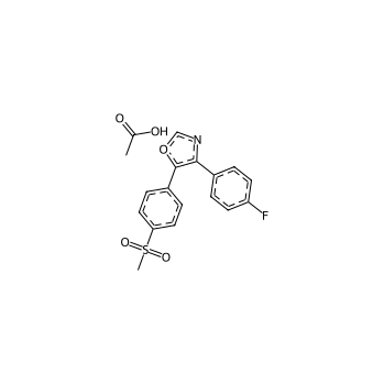 CC(=O)O.CS(=O)(=O)c1ccc(-c2ocnc2-c2ccc(F)cc2)cc1